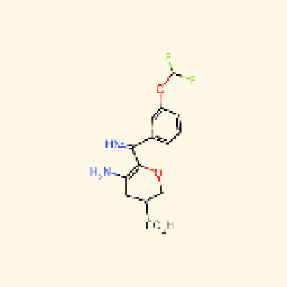 N=C(C1=C(N)CC(C(=O)O)CO1)c1cccc(OC(F)F)c1